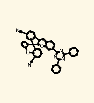 N#Cc1ccc2c(c1)C1(c3ccccc3Oc3c(C#N)cccc31)c1cc3cc(-c4nc(-c5ccccc5)nc(-c5ccccc5)n4)ccc3cc1-2